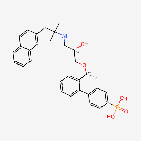 C[C@@H](OC[C@@H](O)CNC(C)(C)Cc1ccc2ccccc2c1)c1ccccc1-c1ccc(P(=O)(O)O)cc1